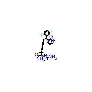 C/C(N)=N\C=C(\C(N)=O)C(C)(C)C#CC#CCC(c1cc(F)ccc1F)c1cccn(C)c1=O